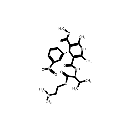 COC(=O)C1=C(C)NC(C)=C(C(=O)N[C@H](C(=O)OCCN(C)C)C(C)C)[C@@H]1c1cccc([N+](=O)[O-])c1